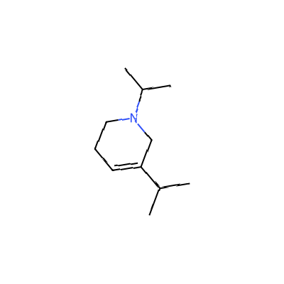 CC(C)C1=CCCN(C(C)C)C1